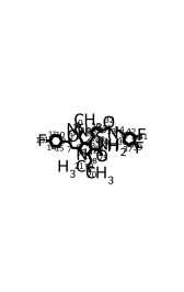 Cc1noc(-c2c(CCc3ccc(F)cc3)nc(CC(C)C)c(C(N)=O)c2-c2ccc(C(=O)NCc3ccc(F)c(F)c3)s2)n1